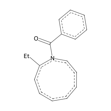 CCc1cccccccn1C(=O)c1ccccc1